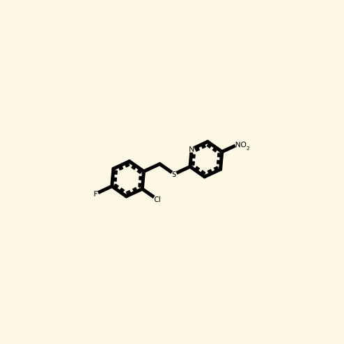 O=[N+]([O-])c1ccc(SCc2ccc(F)cc2Cl)nc1